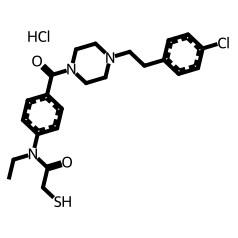 CCN(C(=O)CS)c1ccc(C(=O)N2CCN(CCc3ccc(Cl)cc3)CC2)cc1.Cl